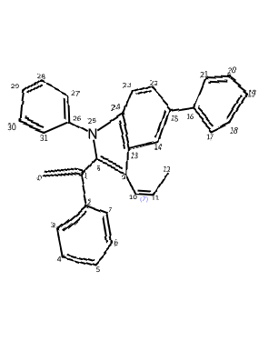 C=C(c1ccccc1)c1c(/C=C\C)c2cc(-c3ccccc3)ccc2n1-c1ccccc1